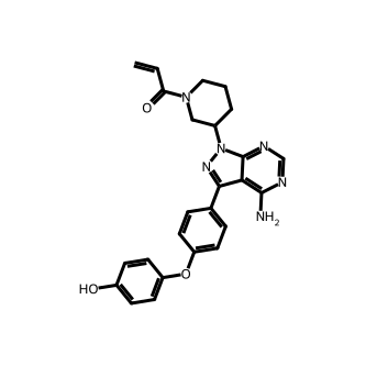 C=CC(=O)N1CCCC(n2nc(-c3ccc(Oc4ccc(O)cc4)cc3)c3c(N)ncnc32)C1